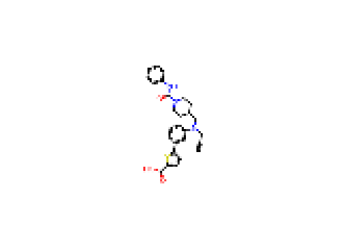 C#CCN(CC1CCN(C(=O)Nc2ccccc2)CC1)c1cccc(-c2ccc(C(=O)O)s2)c1